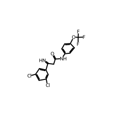 N=C(CC(=O)Nc1ccc(OC(F)(F)F)cc1)c1cc(Cl)cc(Cl)c1